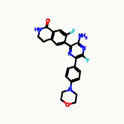 Nc1nc(F)c(-c2ccc(N3CCOCC3)cc2)nc1-c1cc2c(cc1F)C(=O)NCC2